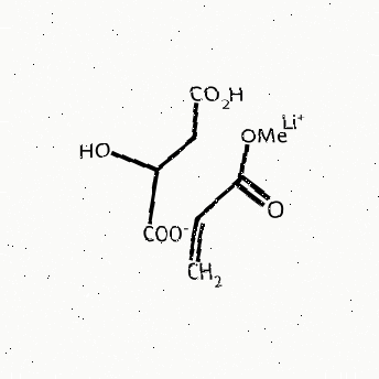 C=CC(=O)OC.O=C(O)CC(O)C(=O)[O-].[Li+]